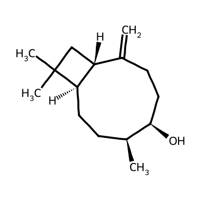 C=C1CC[C@@H](O)[C@@H](C)CC[C@@H]2[C@@H]1CC2(C)C